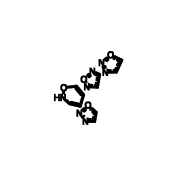 C1=CNOC=C1.c1cnon1.c1conn1.c1conn1